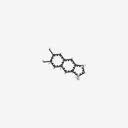 Cc1cc2cc3nc[nH]c3cc2cc1C